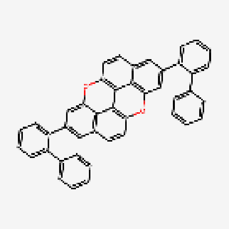 c1ccc(-c2ccccc2-c2cc3ccc4oc5cc(-c6ccccc6-c6ccccc6)cc6ccc7oc(c2)c3c4-c7c65)cc1